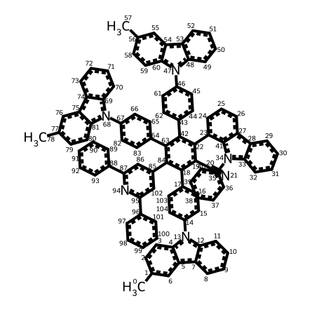 Cc1ccc2c(c1)c1ccccc1n2-c1ccc(-c2c(C#N)c(-c3cccc4c5ccccc5n(-c5ccccc5)c34)c(-c3ccc(-n4c5ccccc5c5cc(C)ccc54)cc3)c(-c3ccc(-n4c5ccccc5c5cc(C)ccc54)cc3)c2-c2cc(-c3ccccc3)nc(-c3ccccc3)c2)cc1